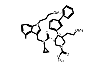 COCCCn1cc(CN(C(=O)[C@H]2CN(C(=O)OC(C)(C)C)CC(CCOC)[C@@H]2c2cccc(-c3ccccc3)c2)C2CC2)c2c(F)cccc21